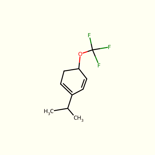 CC(C)C1=CCC(OC(F)(F)F)C=C1